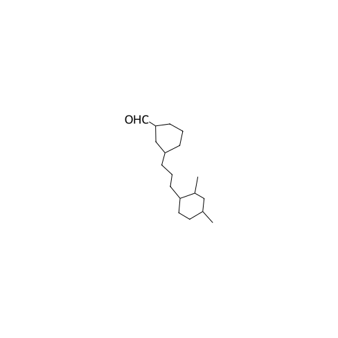 CC1CCC(CCCC2CCCC(C=O)C2)C(C)C1